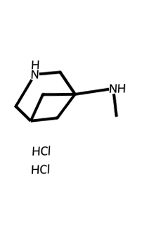 CNC12CNCC(C1)C2.Cl.Cl